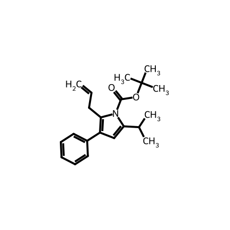 C=CCc1c(-c2ccccc2)cc(C(C)C)n1C(=O)OC(C)(C)C